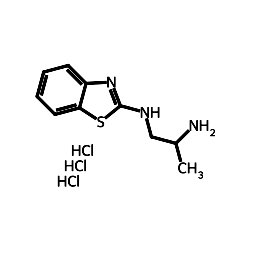 CC(N)CNc1nc2ccccc2s1.Cl.Cl.Cl